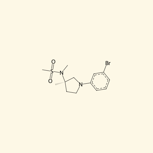 CN([C@]1(C)CCN(c2cccc(Br)c2)C1)S(C)(=O)=O